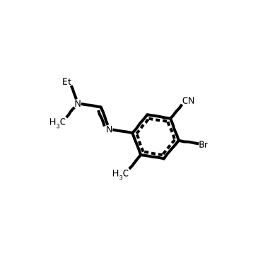 CCN(C)C=Nc1cc(C#N)c(Br)cc1C